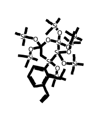 C=Cc1cccc([Si]2(O[Si](C)(C)C)CC(O[Si](C)(C)C)(O[Si](C)(C)C)O[Si](O[Si](C)(C)C)(O[Si](C)(C)C)[Si]2(O[Si](C)(C)C)O[Si](C)(C)C)c1CC